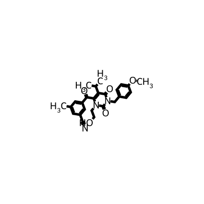 COc1ccc(Cn2c(=O)c(C(C)C)c(C(=O)c3cc(C)cc(C#N)c3)n(CCO)c2=O)cc1